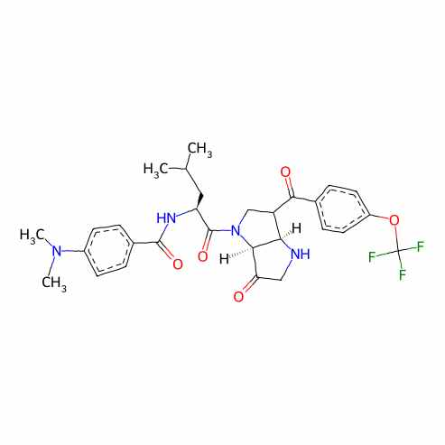 CC(C)C[C@H](NC(=O)c1ccc(N(C)C)cc1)C(=O)N1CC(C(=O)c2ccc(OC(F)(F)F)cc2)[C@H]2NCC(=O)[C@H]21